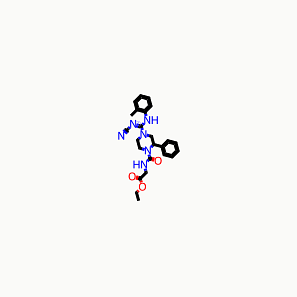 CCOC(=O)CNC(=O)N1CCN(/C(=N\C#N)Nc2ccccc2C)CC1c1ccccc1